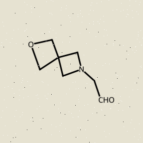 O=CCN1CC2(COC2)C1